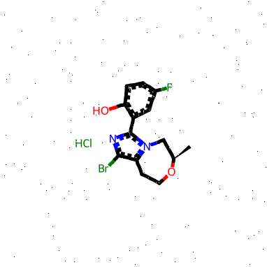 C[C@@H]1Cn2c(-c3cc(F)ccc3O)nc(Br)c2CCO1.Cl